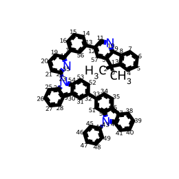 CC1(C)c2ccccc2-c2ncc(-c3cccc(-c4cccc(-n5c6ccccc6c6cc(-c7ccc8c9ccccc9n(-c9ccccc9)c8c7)ccc65)n4)c3)cc21